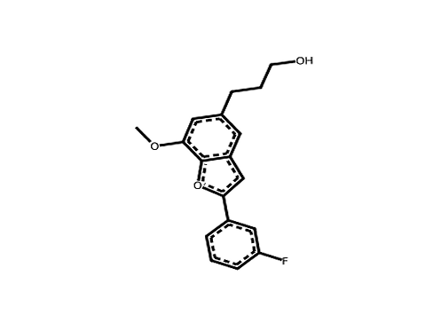 COc1cc(CCCO)cc2cc(-c3cccc(F)c3)oc12